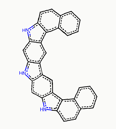 c1ccc2c(c1)ccc1[nH]c3cc4[nH]c5cc6[nH]c7ccc8ccccc8c7c6cc5c4cc3c12